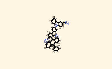 N#Cc1ccc2c(c1)c1ccccc1n2-c1ccc(-c2ccc(C#N)c(-c3c4ccccc4c(-c4ccccc4)c4ccccc34)c2C#N)cc1